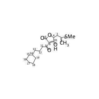 CSC(C)CC1OC(=O)C(C(=O)CCCC2CCCCC2)=C1O